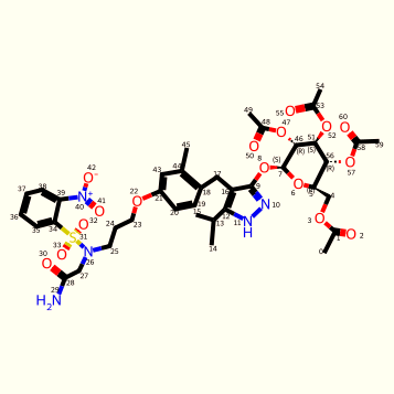 CC(=O)OC[C@H]1O[C@@H](Oc2n[nH]c(C(C)C)c2Cc2ccc(OCCCN(CC(N)=O)S(=O)(=O)c3ccccc3[N+](=O)[O-])cc2C)[C@H](OC(C)=O)[C@@H](OC(C)=O)[C@@H]1OC(C)=O